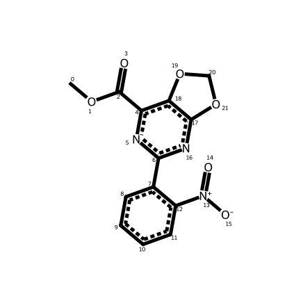 COC(=O)c1nc(-c2ccccc2[N+](=O)[O-])nc2c1OCO2